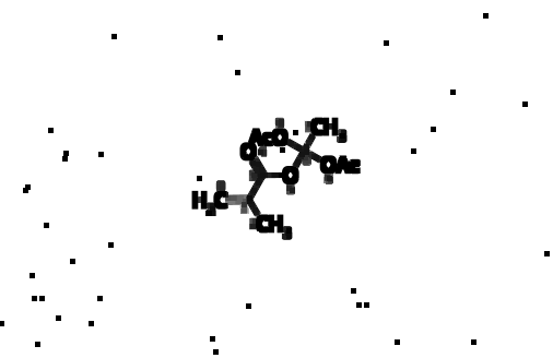 C=C(C)C(=O)OC(C)(OC(C)=O)OC(C)=O